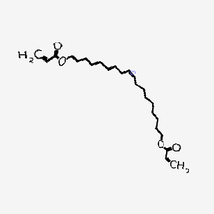 C=CC(=O)OCCCCCCCC/C=C\CCCCCCCCOC(=O)C=C